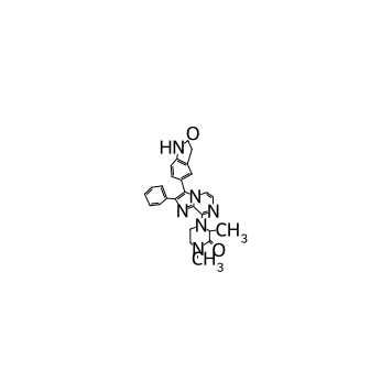 CC1C(=O)N(C)CCN1c1nccn2c(-c3ccc4c(c3)CC(=O)N4)c(-c3ccccc3)nc12